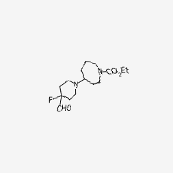 CCOC(=O)N1CCCC(N2CCC(F)(C=O)CC2)CC1